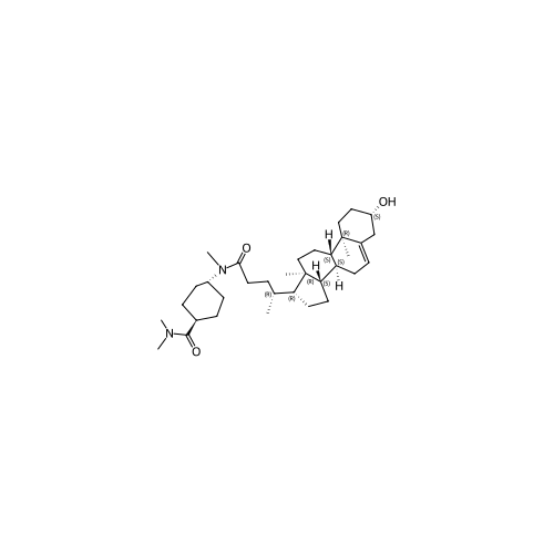 C[C@H](CCC(=O)N(C)[C@H]1CC[C@H](C(=O)N(C)C)CC1)[C@H]1CC[C@H]2[C@@H]3CC=C4C[C@@H](O)CC[C@]4(C)[C@H]3CC[C@]12C